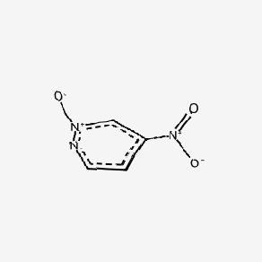 O=[N+]([O-])c1ccn[n+]([O-])c1